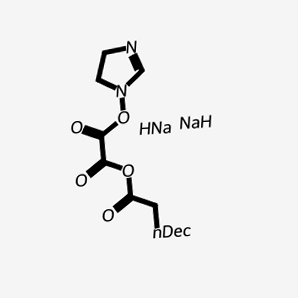 CCCCCCCCCCCC(=O)OC(=O)C(=O)ON1C=NCC1.[NaH].[NaH]